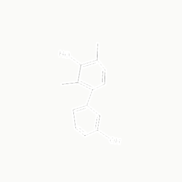 Cc1ccc(-c2cccc(O)c2)c(C)c1O